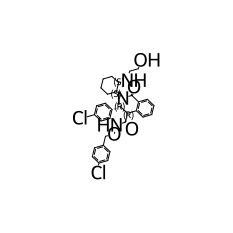 O=C(NOCc1ccc(Cl)cc1)[C@@H]1c2ccccc2C(=O)N([C@H]2CCCC[C@@H]2NCCO)[C@H]1c1ccc(Cl)cc1